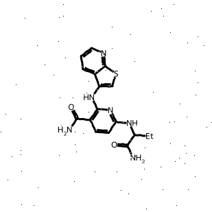 CCC(Nc1ccc(C(N)=O)c(Nc2csc3ncccc23)n1)C(N)=O